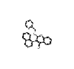 O=c1c2ccccc2nc(SCc2ccccn2)n1-c1cccc2ccccc12